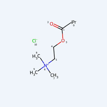 CC(C)C(=O)OCC[N+](C)(C)C.[Cl-]